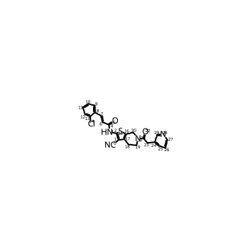 N#Cc1c(NC(=O)C=Cc2ccccc2Cl)sc2c1CCN(C(=O)Cc1cccnc1)C2